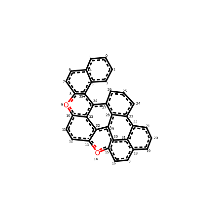 c1ccc2c(c1)ccc1oc3ccc4oc5ccc6cccc7c8cccc9c8c(c5c67)c4c3c9c12